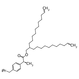 C=CCCCCCCCCCC(CCCCCCCCCC=C)COC(=O)[C@@H](C)c1ccc(CC(C)C)cc1